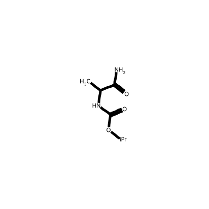 CC(C)OC(=O)NC(C)C(N)=O